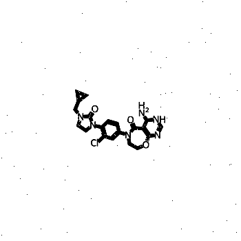 NC1NC=NC2=C1C(=O)N(c1ccc(N3CCN(CC4CC4)C3=O)c(Cl)c1)CCO2